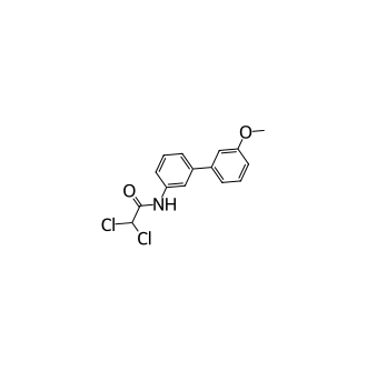 COc1cccc(-c2cccc(NC(=O)C(Cl)Cl)c2)c1